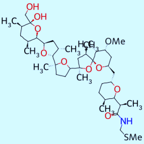 CO[C@@H]1C[C@@H](C[C@H]2CC[C@H](C)C([C@@H](C)C(=O)NCSC)O2)O[C@]2(O[C@@](C)(C3CC[C@@](C)([C@@H]4O[C@@H]([C@@H]5O[C@@](O)(CO)[C@H](C)C[C@@H]5C)C[C@@H]4C)O3)C[C@H]2C)[C@@H]1C